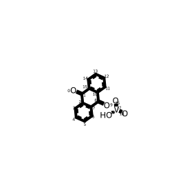 O=C1c2ccccc2C(=O)c2ccccc21.[O]=[V](=[O])[OH]